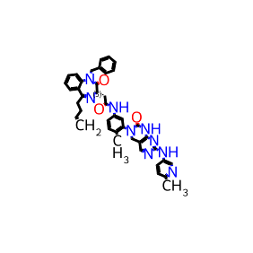 C=CCCC1=N[C@@H](CC(=O)Nc2ccc(C)c(N3Cc4cnc(Nc5ccc(C)nc5)nc4NC3=O)c2)C(=O)N(Cc2ccccc2)c2ccccc21